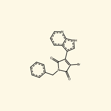 O=C1C(Br)=C(c2c[nH]c3ncccc23)C(=O)N1Cc1ccccc1